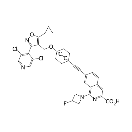 O=C(O)c1cc2ccc(C#CC34CCC(OCc5c(-c6c(Cl)cncc6Cl)noc5C5CC5)(CC3)CC4)cc2c(N2CC(F)C2)n1